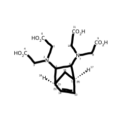 O=C(O)CN(CC(=O)O)C1C(N(CC(=O)O)CC(=O)O)[C@H]2C=C[C@@H]1C2